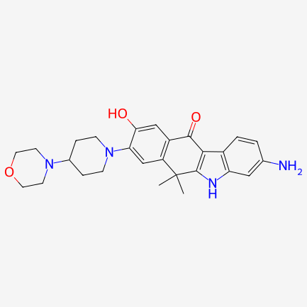 CC1(C)c2cc(N3CCC(N4CCOCC4)CC3)c(O)cc2C(=O)c2c1[nH]c1cc(N)ccc21